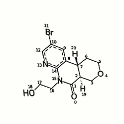 O=C1[C@@H]2COCC[C@H]2c2cc(Br)cnc2N1CCO